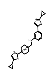 c1cc(NCC23CCC(c4nc(C5CC5)cs4)(CC2)CC3)cc(-c2cnc(C3CC3)o2)c1